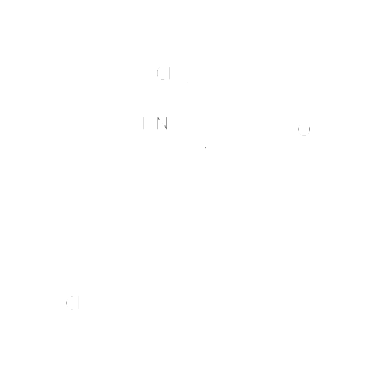 CNC1(c2ccc(Cl)cc2)CCOCC1